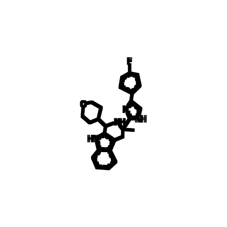 CC1(c2nc(-c3ccc(F)cc3)c[nH]2)Cc2c([nH]c3ccccc23)C(C2CCOCC2)N1